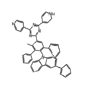 Cc1c(-c2nc(C3=CCNC=C3)nc(-c3ccncc3)n2)cc(-c2ccccc2)c(-n2c3ccccc3c3cc(-c4ccccc4)ccc32)c1-c1ccccc1